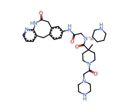 CC1(C(=O)N(CC(=O)Nc2ccc3c(c2)CC(=O)Nc2ncccc2C3)[C@H]2CCCNC2)CCN(C(=O)CN2CCNCC2)CC1